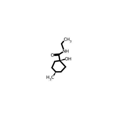 CCNC(=O)[C@]1(O)CC[C@@H](C)CC1